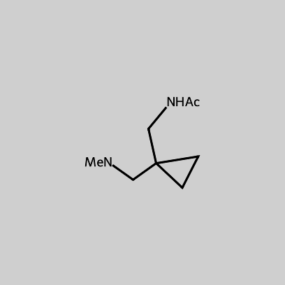 CNCC1(CNC(C)=O)CC1